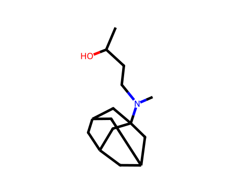 CC(O)CCN(C)C12CC3CC(CC(C3)C1)C2